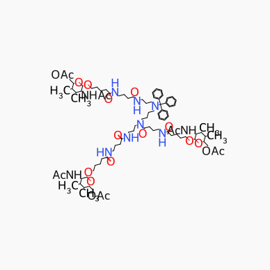 CC(=O)NC1C(OCCCCC(=O)NCCCC(=O)NCCCN(CCCCN(CCCNC(=O)CCCNC(=O)CCCCOC2OC(COC(C)=O)C(C)C(C)C2NC(C)=O)C(c2ccccc2)(c2ccccc2)c2ccccc2)C(=O)CCCNC(=O)CCCCOC2OC(COC(C)=O)C(C)C(C)C2NC(C)=O)OC(COC(C)=O)C(C)C1C